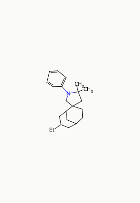 CCC1CC2CCC3(CN(c4ccccc4)C(C)(C)C3)C(C1)C2